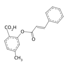 Cc1ccc(C(=O)O)c(OC(=O)/C=C/c2ccccc2)c1